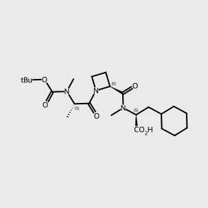 C[C@@H](C(=O)N1CC[C@H]1C(=O)N(C)[C@@H](CC1CCCCC1)C(=O)O)N(C)C(=O)OC(C)(C)C